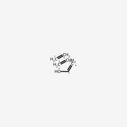 C=C.C=C.C=CO